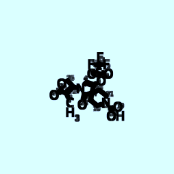 CC1=C(N2C=C(OS(=O)(=O)C(F)(F)F)C3(CCN(C(=O)O)CC3)C2=O)COC1=O